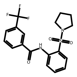 O=C(Nc1ccccc1S(=O)(=O)N1CCCC1)c1cccc(C(F)(F)F)c1